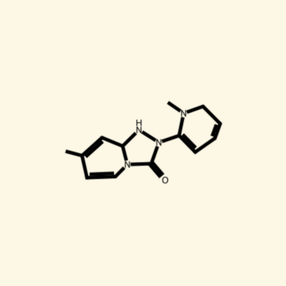 CC1=CC2NN(C3=CC=CCN3C)C(=O)N2C=C1